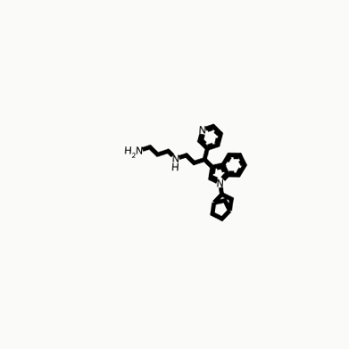 NCCCNCCC(c1cccnc1)c1cn(C2CC3CCC2C3)c2ccccc12